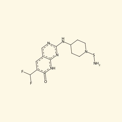 NSN1CCC(Nc2ncc3cc(C(F)F)c(=O)[nH]c3n2)CC1